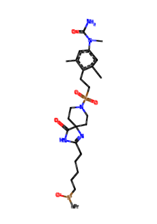 CCC[S+]([O-])CCCCCC1=NC2(CCN(S(=O)(=O)CCc3c(C)cc(N(C)C(N)=O)cc3C)CC2)C(=O)N1